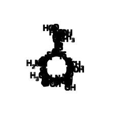 Cc1sc2nc1C(=O)N[C@@H]([C@H](O)c1ccccc1)c1nc(cs1)C(=O)NC(Cc1ccc(O)cc1)C(=O)N1C[C@H](O)[C@H](C)[C@H]1c1nc(cs1)-c1nc(cs1)-c1nc(-c3nc(C(=O)N[C@@H](C(=O)NCC(=O)O)C(C)(C)O)cs3)ccc1-c1nc(cs1)C(=O)N[C@H]2CC(N)=O